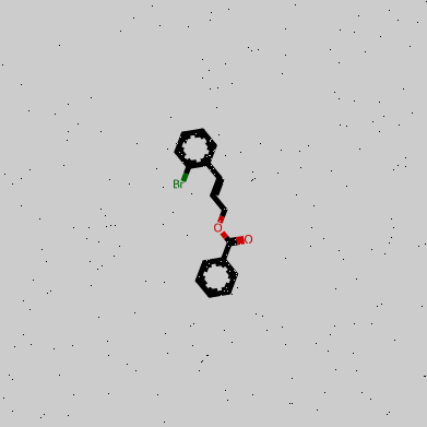 O=C(OCC=Cc1ccccc1Br)c1ccccc1